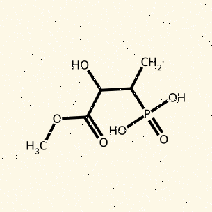 [CH2]C(C(O)C(=O)OC)P(=O)(O)O